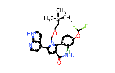 C[Si](C)(C)CCOCn1c(-c2ccnc3[nH]ccc23)cc(C(N)=O)c1-c1ccc(OC(F)F)cc1Cl